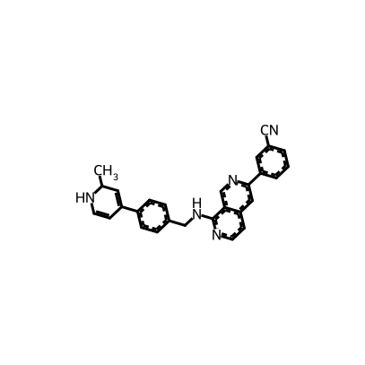 CC1C=C(c2ccc(CNc3nccc4cc(-c5cccc(C#N)c5)ncc34)cc2)C=CN1